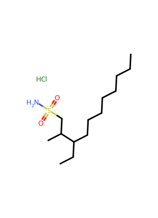 CCCCCCCCC(CC)C(C)CS(N)(=O)=O.Cl